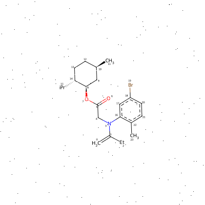 C=C(CC)N(CC(=O)O[C@@H]1C[C@H](C)CC[C@H]1C(C)C)c1cc(Br)ccc1C